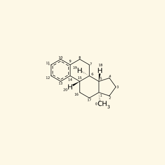 C[C@@]12CCC[C@H]1[C@@H]1CCc3c[c]ccc3[C@H]1CC2